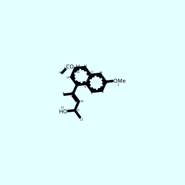 CC(=O)O.COc1ccc2c(C(C)=CC(C)O)cccc2c1